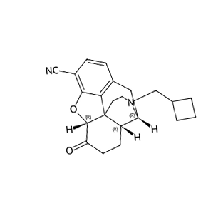 N#Cc1ccc2c3c1O[C@H]1C(=O)CC[C@H]4[C@@H](C2)N(CC2CCC2)CCC314